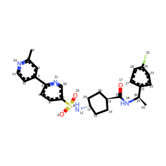 Cc1cc(-c2ccc(S(=O)(=O)N[C@H]3CC[C@H](C(=O)N[C@H](C)c4ccc(F)cc4)CC3)cn2)ccn1